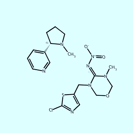 CN1CCC[C@H]1c1cccnc1.CN1COCN(Cc2cnc(Cl)s2)/C1=N/[N+](=O)[O-]